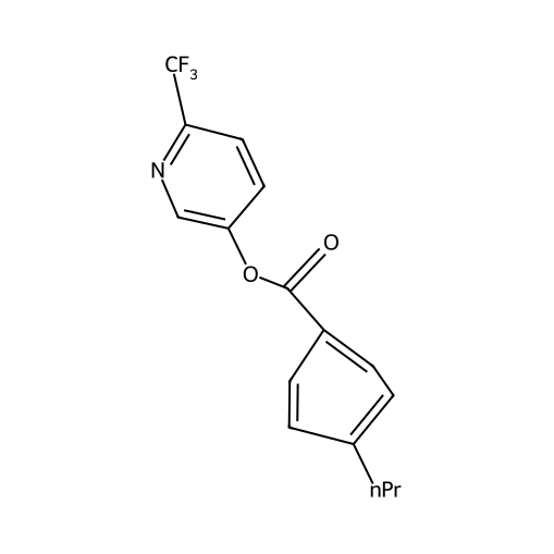 CCCc1ccc(C(=O)Oc2ccc(C(F)(F)F)nc2)cc1